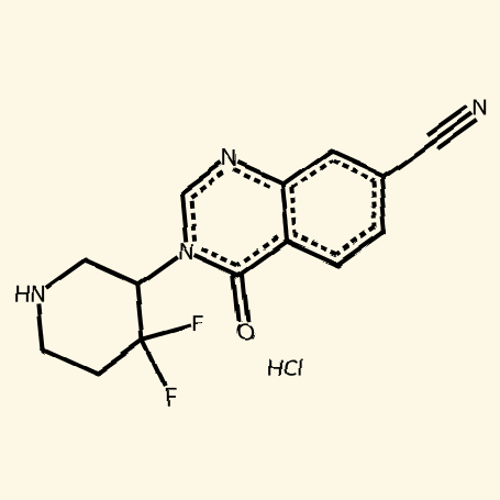 Cl.N#Cc1ccc2c(=O)n(C3CNCCC3(F)F)cnc2c1